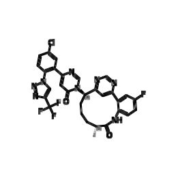 C[C@@H]1CCC[C@@H](n2cnc(-c3cc(Cl)ccc3-n3cc(C(F)(F)F)nn3)cc2=O)c2cc(ncn2)-c2cc(F)ccc2NC1=O